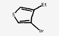 CCc1cscc1Br